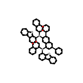 c1ccc(-c2cc(N(c3cccc4ccccc34)c3cccc4c3oc3ccccc34)c3cc(N(c4ccc5ccccc5c4)c4cccc5c4oc4ccccc45)c(-c4ccccc4)cc3c2)cc1